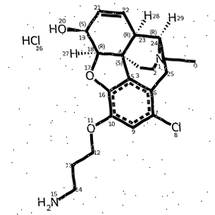 CN1CC[C@]23c4c5c(Cl)cc(OCCCN)c4O[C@H]2[C@@H](O)C=C[C@H]3[C@H]1C5.Cl